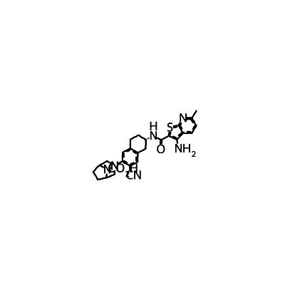 Cc1ccc2c(N)c(C(=O)N[C@H]3CCc4cc(N5CC6CCC(C5)N6C(=O)O)c(C#N)cc4C3)sc2n1